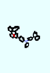 c1ccc(-c2cccc3cccc(-c4cccc(-c5ccc(N(c6ccccc6)c6ccc(-c7cccc8ccccc78)cc6)cc5)c4)c23)cc1